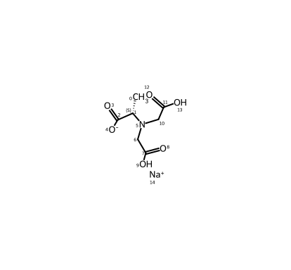 C[C@@H](C(=O)[O-])N(CC(=O)O)CC(=O)O.[Na+]